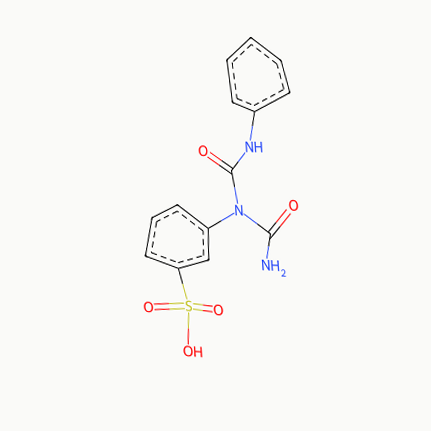 NC(=O)N(C(=O)Nc1ccccc1)c1cccc(S(=O)(=O)O)c1